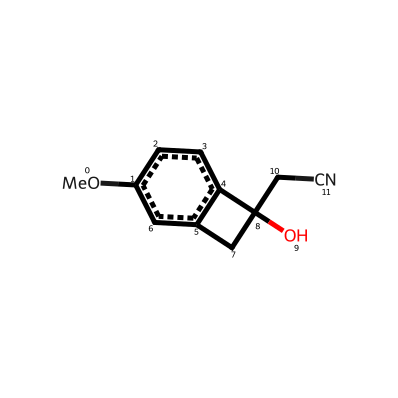 COc1ccc2c(c1)CC2(O)CC#N